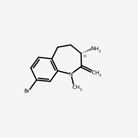 C=C1[C@@H](N)CCc2ccc(Br)cc2N1C